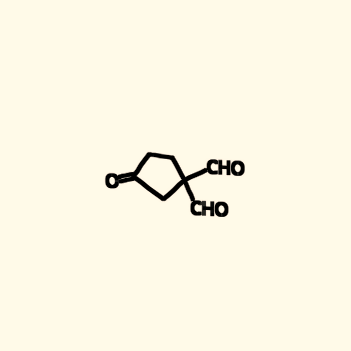 O=CC1(C=O)CCC(=O)C1